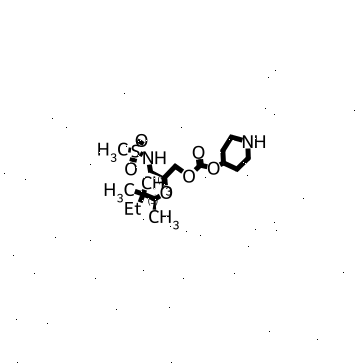 CCC(C)(C)[C@H](C)O[C@@H](CNS(C)(=O)=O)COC(=O)OC1CCNCC1